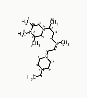 CCN1CCN(CCN(C)CCC(C)N2CC(C)N(C)C(C)C2)CC1